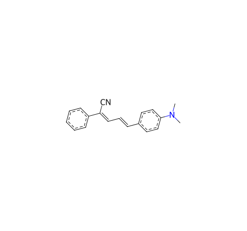 CN(C)c1ccc(/C=C/C=C(\C#N)c2ccccc2)cc1